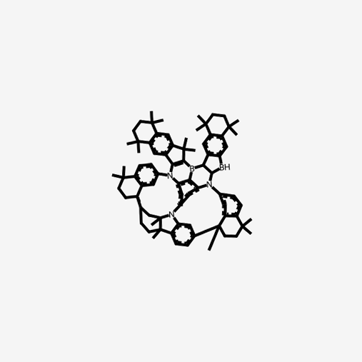 CC1(C)CCC(C)(C)c2cc3c(cc21)BC1C3B2C3=C(c4cc5c(cc4C3(C)C)C(C)(C)CCC5(C)C)N3c4ccc5c(c4)C(C)(CCC5(C)C)C4CCC5(C)c6ccc7cc6N(c6cc3c2c(c6)N1c1ccc2c(c1)C7(C)CCC2(C)C)C5(C)C4